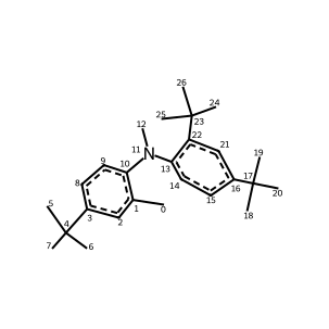 Cc1cc(C(C)(C)C)ccc1N(C)c1ccc(C(C)(C)C)cc1C(C)(C)C